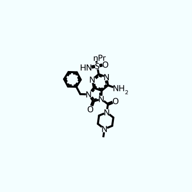 CCCS(=N)(=O)c1nc(N)c2c(n1)n(Cc1ccccc1)c(=O)n2C(=O)N1CCN(C)CC1